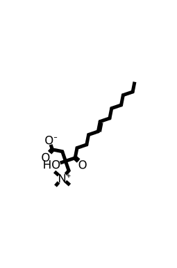 CCCCCCC=CCCCC(=O)C(O)(CC(=O)[O-])C[N+](C)(C)C